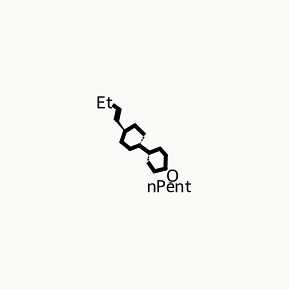 CCC=C[C@H]1CC[C@H]([C@H]2CC[C@H](OCCCCC)CC2)CC1